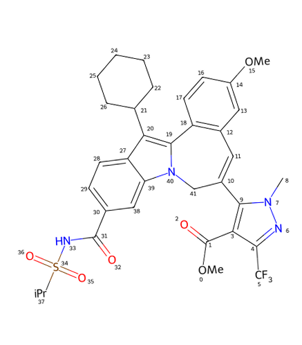 COC(=O)c1c(C(F)(F)F)nn(C)c1C1=Cc2cc(OC)ccc2-c2c(C3CCCCC3)c3ccc(C(=O)NS(=O)(=O)C(C)C)cc3n2C1